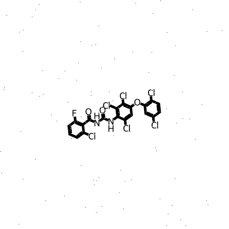 O=C(NC(=O)c1c(F)cccc1Cl)Nc1c(Cl)cc(Oc2cc(Cl)ccc2Cl)c(Cl)c1Cl